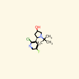 CC(C)(C)N1CC(O)C[C@@H]1c1cc(F)cnc1Cl